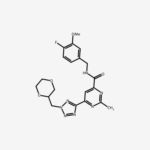 COc1cc(CNC(=O)c2cc(-c3nnn(CC4COCCO4)n3)nc(C)n2)ccc1F